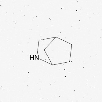 [CH]1CC2CNC1C2